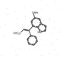 CCOC(=O)/C=C(\c1ccccc1)c1cc(OC)cc2cc[nH]c12